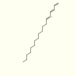 C=CC=C/[C]=C/CCCCCCCCCCCC